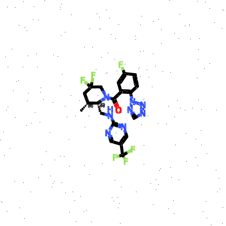 C[C@@H]1CC(F)(F)CN(C(=O)c2cc(F)ccc2-n2ncnn2)[C@@H]1CNc1ncc(C(F)(F)F)cn1